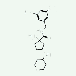 N[C@]1(C(=O)NCc2cc(C(F)(F)F)cc(C(F)(F)F)c2)CC[C@@H](NC2CCOCC2)C1